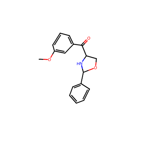 COc1cccc(C(=O)C2COC(c3ccccc3)N2)c1